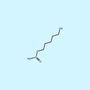 O=S(O)OCCCCCO